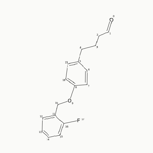 O=CCCCc1ccc(OCc2ccccc2F)cc1